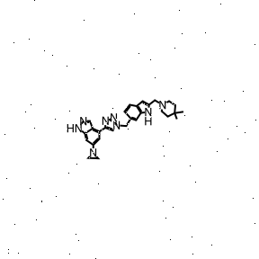 CC1(C)CCN(Cc2cc3ccc(Cn4cc(-c5cc(N6CC6)cc6[nH]ncc56)nn4)cc3[nH]2)CC1